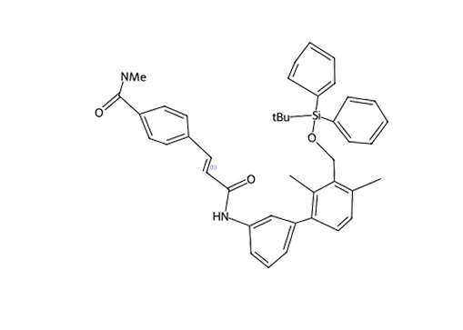 CNC(=O)c1ccc(/C=C/C(=O)Nc2cccc(-c3ccc(C)c(CO[Si](c4ccccc4)(c4ccccc4)C(C)(C)C)c3C)c2)cc1